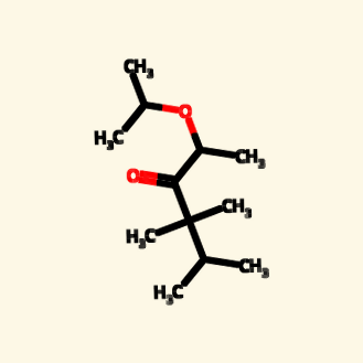 CC(C)OC(C)C(=O)C(C)(C)C(C)C